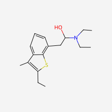 CCc1sc2c(CC(O)N(CC)CC)cccc2c1C